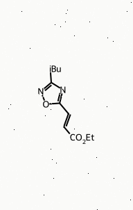 CCOC(=O)/C=C/c1nc(C(C)CC)no1